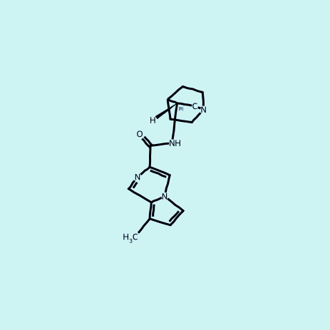 Cc1ccn2cc(C(=O)N[C@H]3CN4CCC3CC4)ncc12